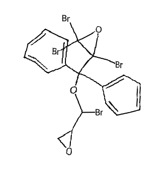 BrC(OC(c1ccccc1)(c1ccccc1)C1(Br)OC1(Br)Br)C1CO1